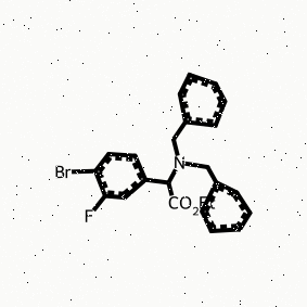 CCOC(=O)C(c1ccc(Br)c(F)c1)N(Cc1ccccc1)Cc1ccccc1